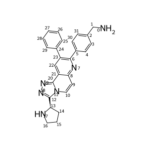 NCc1ccc(-c2nc3ccn4c([C@H]5CCCN5)nnc4c3cc2-c2ccccc2)cc1